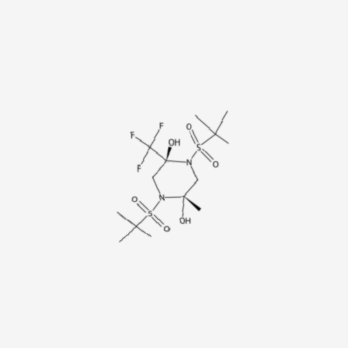 CC(C)(C)S(=O)(=O)N1C[C@](O)(C(F)(F)F)N(S(=O)(=O)C(C)(C)C)C[C@]1(C)O